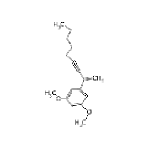 C=C(C#CCCCCC)c1cc(OC)cc(OC)c1